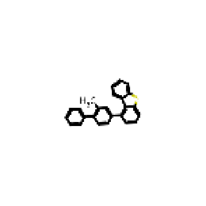 Cc1cc(-c2cccc3sc4ccccc4c23)ccc1-c1ccccc1